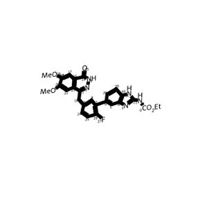 CCOC(=O)Nc1nc2cc(-c3cc(Cc4n[nH]c(=O)c5cc(OC)c(OC)cc45)ccc3F)ccc2[nH]1